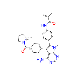 C=C(C)C(=O)Nc1ccc(-c2c(C3=CC[C@@H](C(=O)N4CCC[C@@H]4C)CC3)c3c(N)ncnc3n2C)cc1